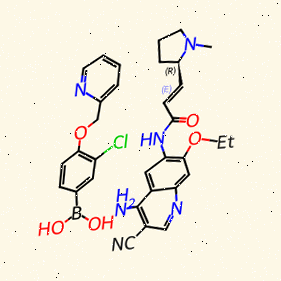 CCOc1cc2ncc(C#N)c(N)c2cc1NC(=O)/C=C/[C@H]1CCCN1C.OB(O)c1ccc(OCc2ccccn2)c(Cl)c1